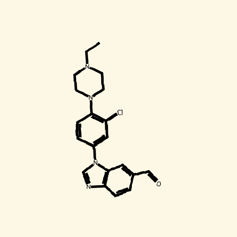 CCN1CCN(c2ccc(-n3cnc4ccc(C=O)cc43)cc2Cl)CC1